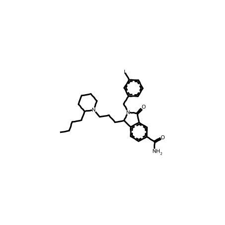 CCCCC1CCCCN1CCCC1c2ccc(C(N)=O)cc2C(=O)N1Cc1cccc(I)c1